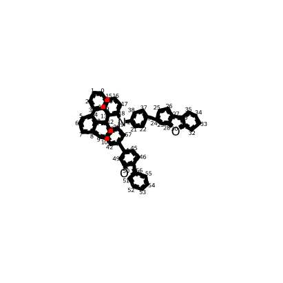 c1ccc(-c2cccc3cccc(-c4ccccc4N(c4ccc(-c5ccc6c(c5)oc5ccccc56)cc4)c4cccc(-c5ccc6c(c5)oc5ccccc56)c4)c23)cc1